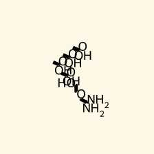 CC(=O)O.CC(=O)O.CC(=O)O.CC(=O)O.NC(N)COCCO